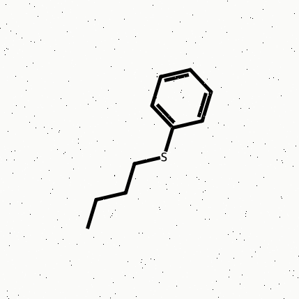 CCCCSc1c[c]ccc1